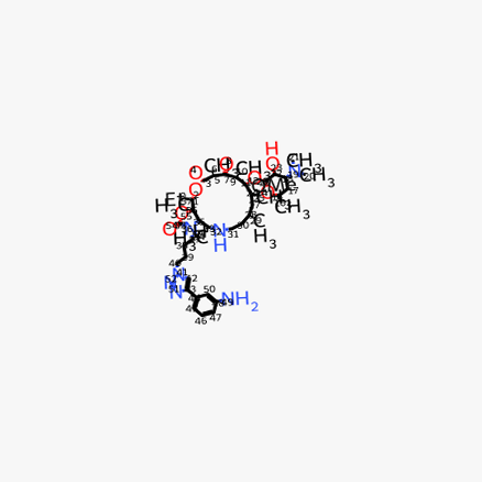 CC[C@H]1OC(=O)[C@H](C)C(=O)[C@H](C)[C@@H](O[C@@H]2OC(C)CC(N(C)C)C2O)[C@](C)(OC)C[C@@H](C)CCN[C@H](C)[C@H]2N(CCCCn3cc(-c4cccc(N)c4)nn3)C(=O)O[C@]12C